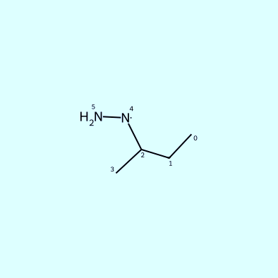 CCC(C)[N]N